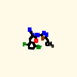 CCc1nnc(NC(=O)C(C#N)=Cc2cc(Br)ccc2F)s1